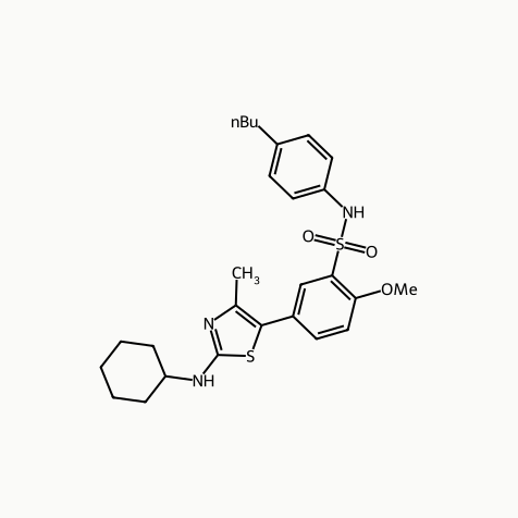 CCCCc1ccc(NS(=O)(=O)c2cc(-c3sc(NC4CCCCC4)nc3C)ccc2OC)cc1